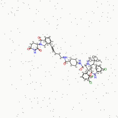 CC(C)(C)C[C@@H]1N[C@@H](C(=O)NC2CCC(C(=O)NCCCC#Cc3cccc4c3CN(C3CCC(=O)NC3=O)C4=O)CC2)[C@H](c2cccc(Cl)c2F)[C@]12C(=O)Nc1cc(Cl)ccc12